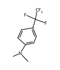 CN(C)c1ccc(C(F)(F)C(F)(F)F)cc1